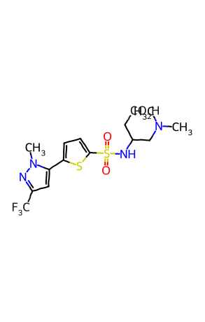 CN(C)CC(CC(=O)O)NS(=O)(=O)c1ccc(-c2cc(C(F)(F)F)nn2C)s1